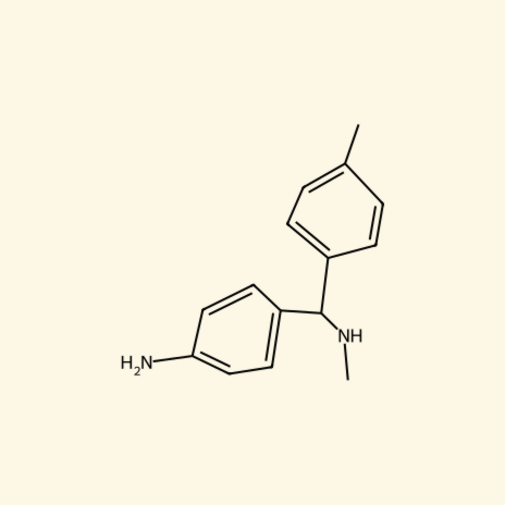 CNC(c1ccc(C)cc1)c1ccc(N)cc1